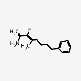 C=C(N)/C(F)=C(\C)CCCCc1ccccc1